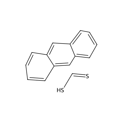 S=CS.c1ccc2cc3ccccc3cc2c1